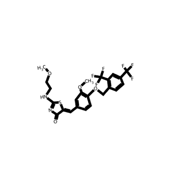 COCCNC1=NC(=O)C(=Cc2ccc(OCc3ccc(C(F)(F)F)cc3C(F)(F)F)c(OC)c2)S1